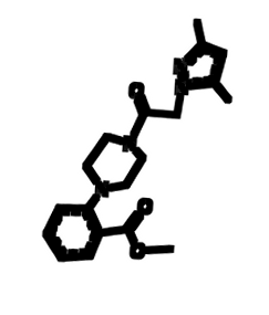 COC(=O)c1ccccc1N1CCN(C(=O)Cn2nc(C)cc2C)CC1